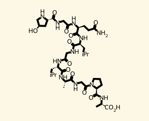 CC(C)C[C@H](NC(=O)CNC(=O)[C@H](CC(C)C)NC(=O)[C@H](CCC(N)=O)NC(=O)CNC(=O)[C@@H]1C[C@@H](O)CN1)C(=O)N[C@@H](C)C(=O)NCC(=O)N1CCC[C@H]1C(=O)N[C@@H](C)C(=O)O